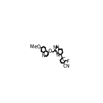 COc1ccc2c(OCc3nnc4ccc(-c5ccc(C#N)c(F)c5)nn34)ccnc2c1